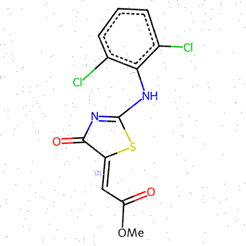 COC(=O)/C=C1\SC(Nc2c(Cl)cccc2Cl)=NC1=O